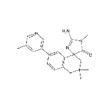 Cc1cncc(-c2ccc3c(c2)C2(CC(C)(C)C3)N=C(N)N(C)C2=O)c1